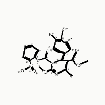 COC(=O)C1=C(C)N=C(OC)N(C(=O)Oc2ccccc2[N+](=O)[O-])C1c1ccc(F)c(F)c1